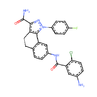 NC(=O)c1nn(-c2ccc(F)cc2)c2c1CCc1ccc(NC(=O)c3cc(N)ccc3Cl)cc1-2